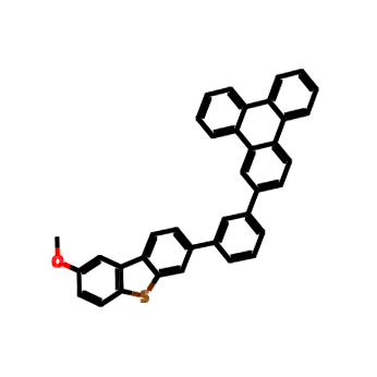 COc1ccc2sc3cc(-c4cccc(-c5ccc6c7ccccc7c7ccccc7c6c5)c4)ccc3c2c1